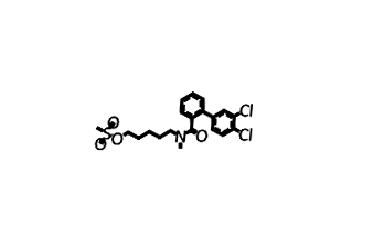 CN(CCCCCOS(C)(=O)=O)C(=O)c1ccccc1-c1ccc(Cl)c(Cl)c1